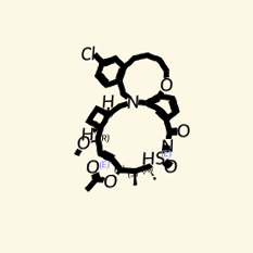 CO[C@H]1/C=C/[C@H](OC(C)=O)[C@H](C)[C@@H](C)/[SH](=O)=N\C(=O)c2ccc3c(c2)N(Cc2ccc(Cl)cc2CCCCO3)C[C@@H]2CC[C@H]21